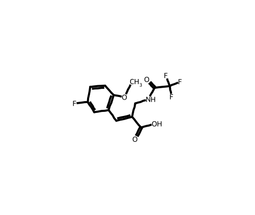 COc1ccc(F)cc1C=C(CNC(=O)C(F)(F)F)C(=O)O